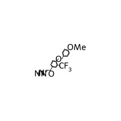 COc1ccc(COc2ccc(C(=O)CN=[N+]=[N-])cc2C(F)(F)F)cc1